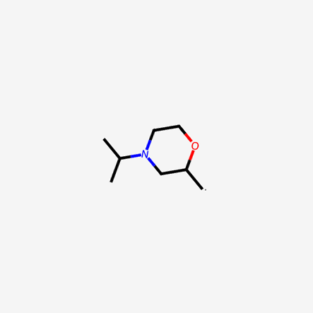 [CH2]C1CN(C(C)C)CCO1